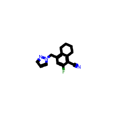 N#Cc1c(F)cc(Cn2cccn2)c2c1CCCC2